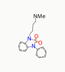 CNCCCCN1c2ccccc2N(c2ccccc2)S1(=O)=O